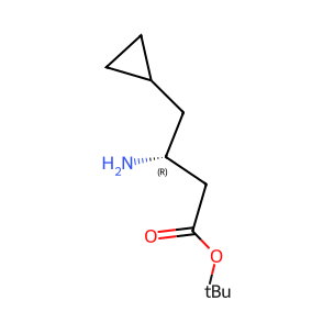 CC(C)(C)OC(=O)C[C@H](N)CC1CC1